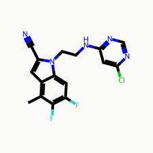 Cc1c(F)c(F)cc2c1cc(C#N)n2CCNc1cc(Cl)ncn1